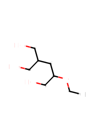 CCOC(CO)CC(CO)CO